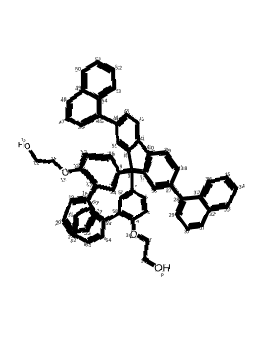 OCCOc1ccc(C2(c3ccc(OCCO)c(-c4ccccc4)c3)c3cc(-c4cccc5ccccc45)ccc3-c3ccc(-c4cccc5ccccc45)cc32)cc1-c1ccccc1